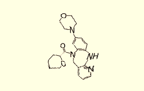 O=C([C@H]1CCCCO1)N1Cc2cccnc2Nc2ccc(N3CCOCC3)cc21